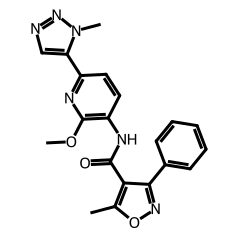 COc1nc(-c2cnnn2C)ccc1NC(=O)c1c(-c2ccccc2)noc1C